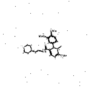 COc1ccc(C2C(C(=O)NCCN3CCOCC3)=CN=C(SC)N2C)cc1OC